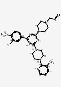 C=CCN1CCN(c2nc(-c3ccc(C)c(F)c3)nc(N3CCN(c4ncccc4C(F)(F)F)CC3)n2)CC1